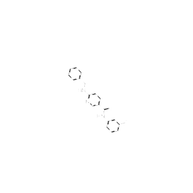 O=C(Nc1cccc(Cl)c1)c1ccc(NCc2ccccc2)nc1